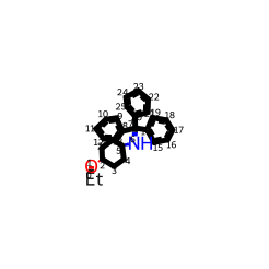 CCO[C@H]1CC[C@H](NC(c2ccccc2)(c2ccccc2)c2ccccc2)CC1